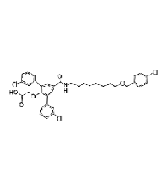 O=C(O)COc1c(-c2cccc(Cl)c2)cc(C(=O)NCCCCCCCCOCc2ccc(Cl)cc2)cc1-c1cccc(Cl)c1